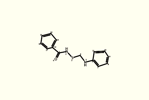 O=C(NSCNc1ccccc1)c1ccccc1